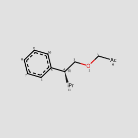 CC(=O)COC[C@H](c1ccccc1)C(C)C